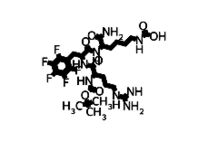 CC(C)(C)OC(=O)NC(CCCNC(=N)N)C(=O)NC(Cc1c(F)c(F)c(F)c(F)c1F)C(=O)NC(CCCCNC(=O)O)C(N)=O